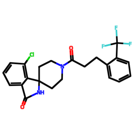 O=C1NC2(CCN(C(=O)CCc3ccccc3C(F)(F)F)CC2)c2c(Cl)cccc21